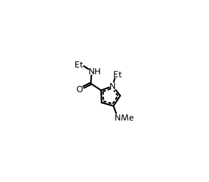 CCNC(=O)c1cc(NC)cn1CC